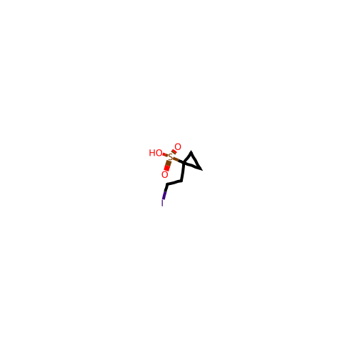 O=S(=O)(O)C1(CCI)CC1